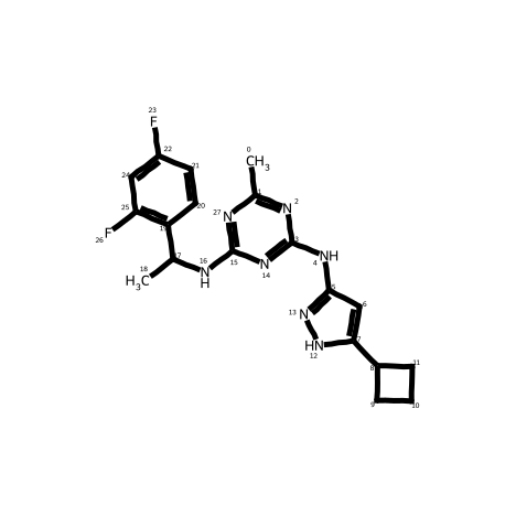 Cc1nc(Nc2cc(C3CCC3)[nH]n2)nc(NC(C)c2ccc(F)cc2F)n1